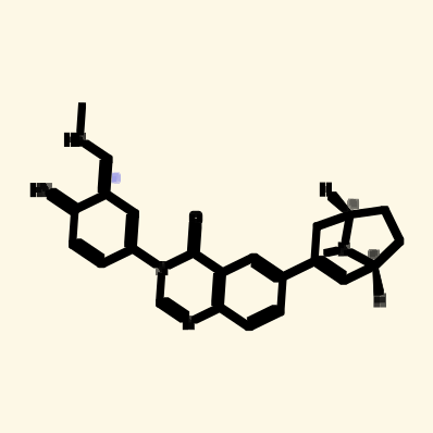 CN/C=C1/C=C(n2cnc3ccc(C4=C[C@H]5CC[C@@H](C4)N5C)cc3c2=O)C=CC1=N